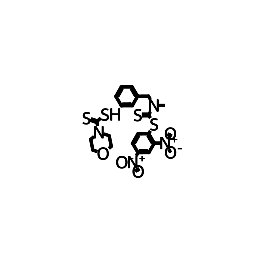 CN(Cc1ccccc1)C(=S)Sc1ccc([N+](=O)[O-])cc1[N+](=O)[O-].S=C(S)N1CCOCC1